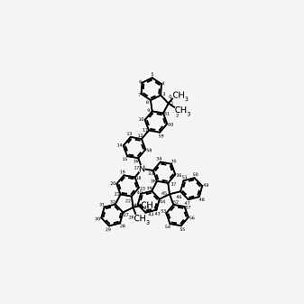 CC1(C)c2ccccc2-c2cc(-c3cccc(N(c4ccc5c(c4)C(C)(C)c4ccccc4-5)c4cccc5c4-c4ccccc4C5(c4ccccc4)c4ccccc4)c3)ccc21